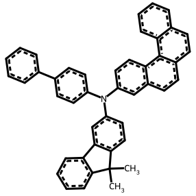 CC1(C)c2ccccc2-c2cc(N(c3ccc(-c4ccccc4)cc3)c3ccc4c(ccc5ccc6ccccc6c54)c3)ccc21